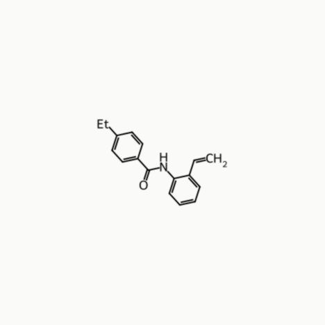 C=Cc1ccccc1NC(=O)c1ccc(CC)cc1